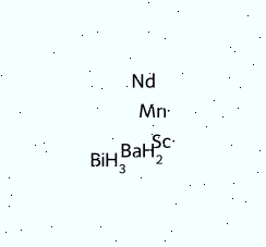 [BaH2].[BiH3].[Mn].[Nd].[Sc]